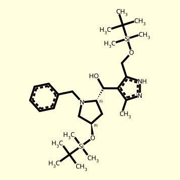 Cc1n[nH]c(CO[Si](C)(C)C(C)(C)C)c1C(O)[C@@H]1C[C@@H](O[Si](C)(C)C(C)(C)C)CN1Cc1ccccc1